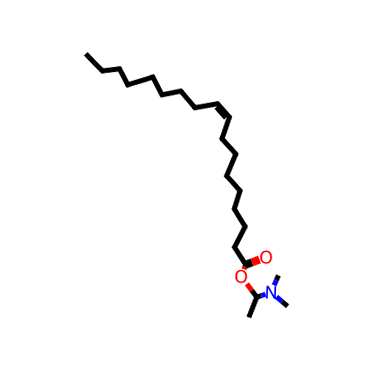 CCCCCCCC/C=C\CCCCCCCC(=O)OC(C)N(C)C